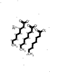 CCCCCCCC(=O)[O-].CCCCCCCC(=O)[O-].CCCCCCCC(=O)[O-].[Al+3]